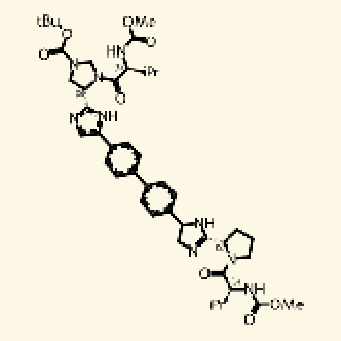 COC(=O)N[C@H](C(=O)N1CCC[C@H]1C1=NCC(c2ccc(-c3ccc(-c4cnc([C@@H]5CN(C(=O)OC(C)(C)C)CN5C(=O)[C@@H](NC(=O)OC)C(C)C)[nH]4)cc3)cc2)N1)C(C)C